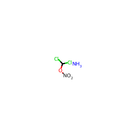 N.O=[N+]([O-])OC(Cl)Cl